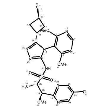 COc1ncnc(OC)c1-n1c(NS(=O)(=O)[C@@H](C)[C@H](OC)c2ncc(Cl)cn2)nnc1[C@H]1C[C@H](C(F)(F)F)C1